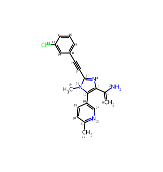 C=C(N)c1nc(C#Cc2cccc(Cl)c2)n(C)c1-c1ccc(C)nc1